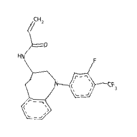 C=CC(=O)NC1Cc2ccccc2N(c2ccc(C(F)(F)F)c(F)c2)C1